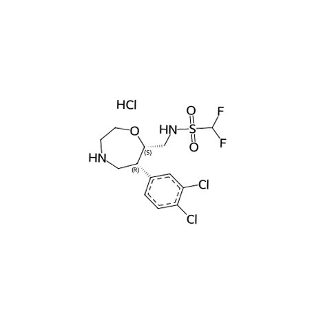 Cl.O=S(=O)(NC[C@H]1OCCNC[C@H]1c1ccc(Cl)c(Cl)c1)C(F)F